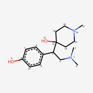 CN(C)CC(c1ccc(O)cc1)C1(O)CCN(C)CC1